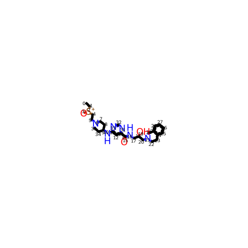 CC[S+]([O-])CCN1CCC(Nc2cc(C(=O)NCC(O)CN3CCc4ccccc4C3)ncn2)CC1